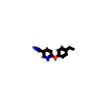 CCc1ccc(Oc2ccc(C#N)cn2)cc1